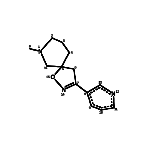 CN1CCCC2(CC(c3cccnc3)=NO2)C1